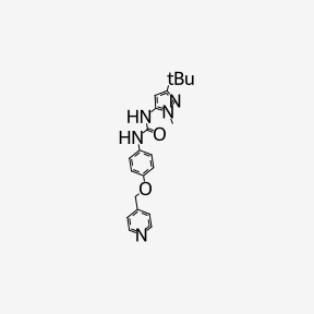 Cn1nc(C(C)(C)C)cc1NC(=O)Nc1ccc(OCc2ccncc2)cc1